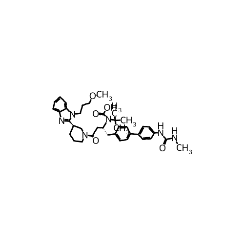 CNC(=O)Nc1ccc(-c2ccc(C[C@H](CC(=O)N3CCC[C@@H](c4nc5ccccc5n4CCCOC)C3)N(C(=O)O)C(C)(C)C)cc2)cc1